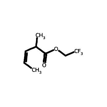 C/C=C\C(C)C(=O)OCC(F)(F)F